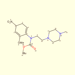 COC1=CC([N+](=O)[O-])CC=C1N(CCN1CCN(C)CC1)C(=O)OC(C)(C)C